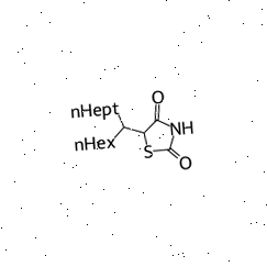 CCCCCCCC(CCCCCC)C1SC(=O)NC1=O